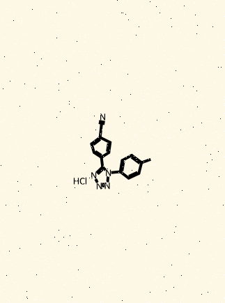 Cc1ccc(-n2nnnc2-c2ccc(C#N)cc2)cc1.Cl